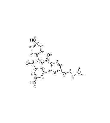 CN(C)CCOc1ccc(C(=O)c2c(-c3ccc(O)cc3)[s+]([O-])c3cc(O)ccc23)cc1